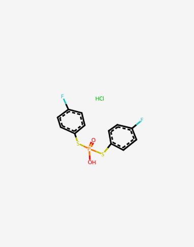 Cl.O=P(O)(Sc1ccc(F)cc1)Sc1ccc(F)cc1